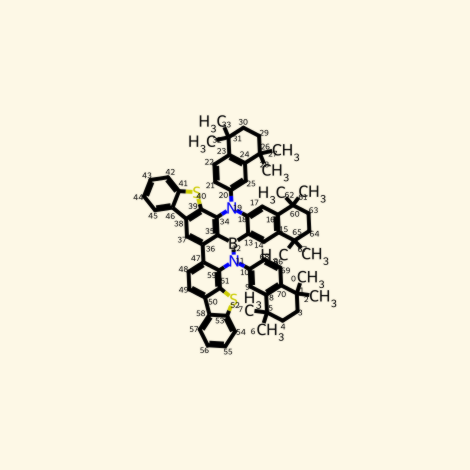 CC1(C)CCC(C)(C)c2cc(N3B4c5cc6c(cc5N(c5ccc7c(c5)C(C)(C)CCC7(C)C)c5c4c(cc4c5sc5ccccc54)-c4ccc5c(sc7ccccc75)c43)C(C)(C)CCC6(C)C)ccc21